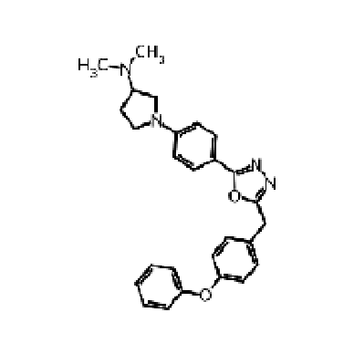 CN(C)C1CCN(c2ccc(-c3nnc(Cc4ccc(Oc5ccccc5)cc4)o3)cc2)C1